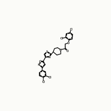 O=C(COc1ccc(Cl)cc1Cl)N1CCC(c2nc(-c3cc(-c4ccc(Cl)c(Cl)c4)no3)cs2)CC1